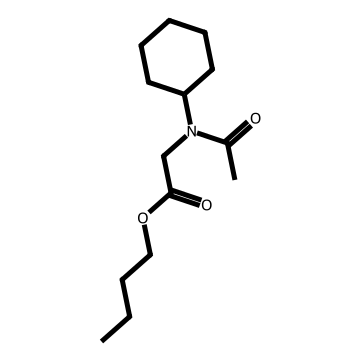 CCCCOC(=O)CN(C(C)=O)C1CCCCC1